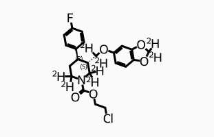 [2H]C1([2H])Oc2ccc(OC([2H])([2H])[C@H]3[C@H](c4ccc(F)cc4)CC([2H])([2H])N(C(=O)OCCCl)C3([2H])[2H])cc2O1